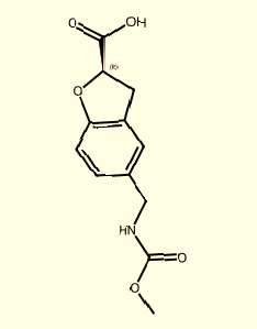 COC(=O)NCc1ccc2c(c1)C[C@H](C(=O)O)O2